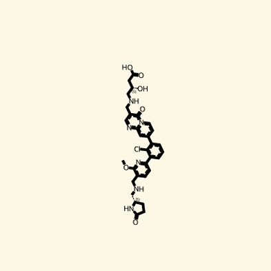 COc1nc(-c2cccc(-c3ccn4c(=O)c(CNC[C@@H](O)CC(=O)O)cnc4c3)c2Cl)ccc1CNC[C@@H]1CCC(=O)N1